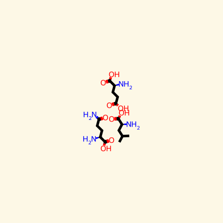 CC(C)C[C@H](N)C(=O)O.NC(=O)CC[C@H](N)C(=O)O.N[C@@H](CCC(=O)O)C(=O)O